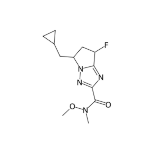 CON(C)C(=O)c1nc2n(n1)C(CC1CC1)CC2F